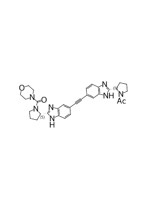 CC(=O)N1CCC[C@H]1c1nc2ccc(C#Cc3ccc4[nH]c([C@@H]5CCCN5C(=O)N5CCOCC5)nc4c3)cc2[nH]1